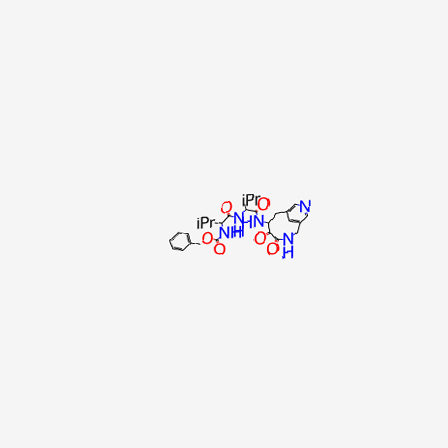 CC(C)C(NC(=O)OCc1ccccc1)C(=O)NC(C(=O)NC1Cc2cncc(c2)CNC(=O)C1=O)C(C)C